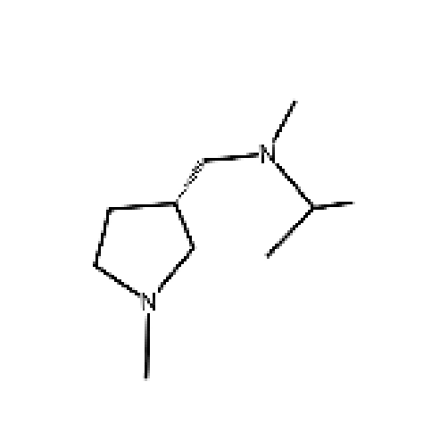 CC(C)N(C)C[C@H]1CCN(C)C1